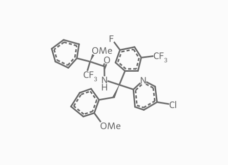 COc1ccccc1C[C@@](NC(=O)[C@@](OC)(c1ccccc1)C(F)(F)F)(c1cc(F)cc(C(F)(F)F)c1)c1ccc(Cl)cn1